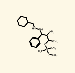 CC(O[Si](C)(C)OC(C)(C)C)C(N)C(NNCC1CCCCC1)c1ccccc1